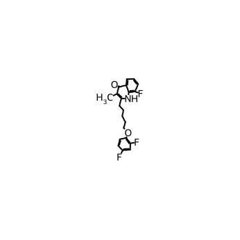 Cc1c(CCCCCOc2ccc(F)cc2F)[nH]c2c(F)cccc2c1=O